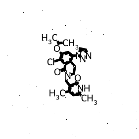 Cc1cc(C)c(CN2CCc3c(-n4ccnn4)cc(OC(C)C)c(Cl)c3C2=O)c(=O)[nH]1